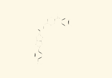 Cc1ccc(NC2CCC(OCC(=O)N3CC4CN(c5ccc(C(C)(C)C)cc5)CC4C3)CC2)cc1C(F)(F)F